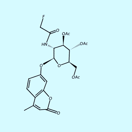 CC(=O)OC[C@H]1O[C@@H](Oc2ccc3c(C)cc(=O)oc3c2)[C@H](NC(=O)CF)[C@@H](OC(C)=O)[C@@H]1OC(C)=O